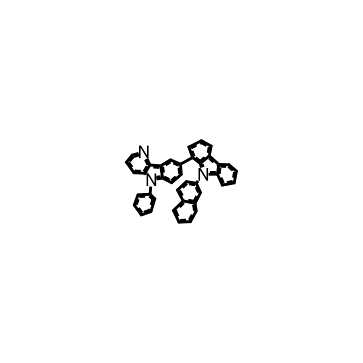 c1ccc(-n2c3ccc(-c4cccc5c6ccccc6n(-c6ccc7ccccc7c6)c45)cc3c3ncccc32)cc1